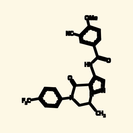 COc1ccc(C(=O)Nc2cnn3c2C(=O)N(c2ccc(C(F)(F)F)cc2)CC3C)cc1C#N